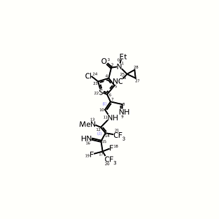 CCN(C(=O)c1cc(/C(C=N)=C/N/C(NC)=C(/C(=N)C(F)(F)C(F)(F)F)C(F)(F)F)sc1Cl)C1(C#N)CC1